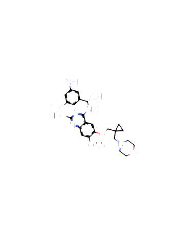 COc1cc2nc(C)nc(N[C@H](C)c3cc(N)cc(C(F)(F)F)c3)c2cc1OCC1(CN2CCOCC2)CC1